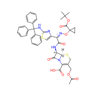 CC(=O)OCC1=C(C(=O)O)N2C(=O)[C@@H](NC(=O)/C(=N\OC3(C(=O)OC(C)(C)C)CC3)c3csc(NC(c4ccccc4)(c4ccccc4)c4ccccc4)n3)[C@H]2SC1